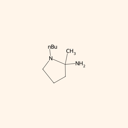 CCCCN1CCCC1(C)N